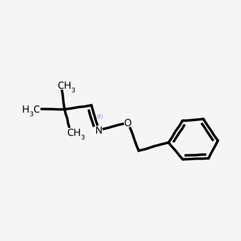 CC(C)(C)/C=N/OCc1ccccc1